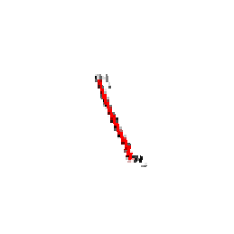 CCCCCCCCCCCCCCCCCCCCCCCCCCCCC=COC=CCCCCCCCCCCCCCCCCCCCCCCCCCCCC